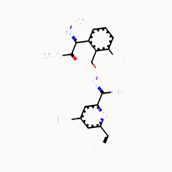 C=Cc1cc(C(F)(F)F)cc(C(C)=NOCc2c(C)cccc2/C(=N\OC)C(=O)NC)n1